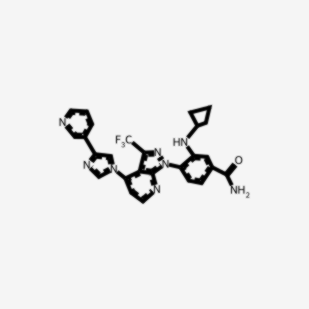 NC(=O)c1ccc(-n2nc(C(F)(F)F)c3c(-n4cnc(-c5cccnc5)c4)ccnc32)c(NC2CCC2)c1